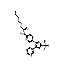 CCCCCCC(=O)Nc1ccc(-n2nc(C(F)(F)F)cc2-c2cccnc2)cn1